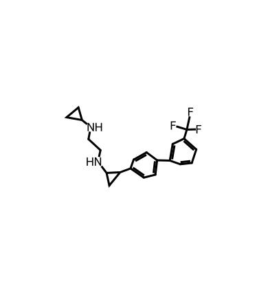 FC(F)(F)c1cccc(-c2ccc(C3CC3NCCNC3CC3)cc2)c1